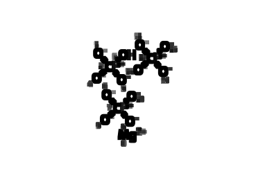 [Mg+2].[O-][Cl+3]([O-])([O-])O.[O-][Cl+3]([O-])([O-])[O-].[O-][Cl+3]([O-])([O-])[O-]